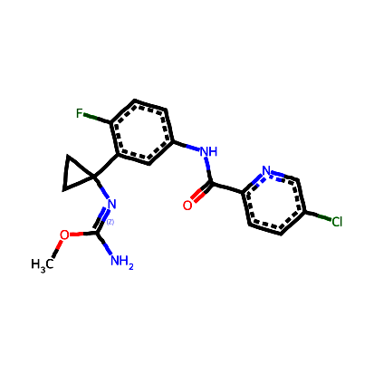 CO/C(N)=N\C1(c2cc(NC(=O)c3ccc(Cl)cn3)ccc2F)CC1